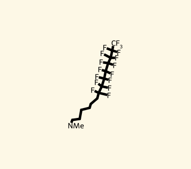 CNCCCCCCC(F)(F)C(F)(F)C(F)(F)C(F)(F)C(F)(F)C(F)(F)C(F)(F)C(F)(F)F